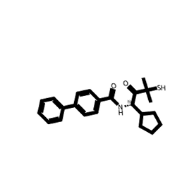 CC(C)(S)C(=O)[C@@H](NC(=O)c1ccc(-c2ccccc2)cc1)C1CCCC1